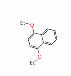 CCOc1ccc(OCC)c2ccccc12